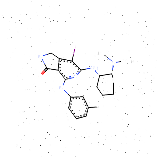 Cc1cccc(Nc2nc(N[C@@H]3CCCC[C@@H]3N(C(=O)O)C(C)(C)C)c(I)c3c2C(=O)NC3)c1